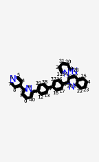 c1cc(-c2ccncc2)nc(-c2ccc(-c3ccc(-c4nc5ccccc5c5nc6ccccn6c45)cc3)cc2)c1